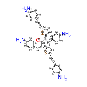 Nc1ccc(C#Cc2ccc(C(Cc3ccc(N)cc3)C(=O)C(Cc3ccc(N)cc3)c3ccc(C#Cc4ccc(N)cc4)s3)s2)cc1